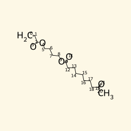 C=CC(=O)OCCCCOC(=O)CCCCCCCC(C)=O